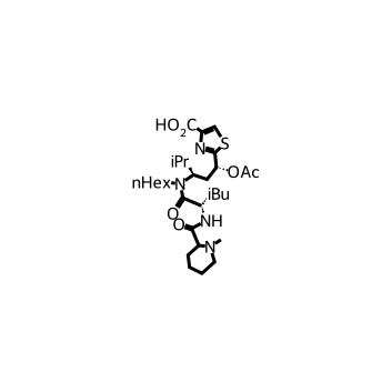 CCCCCCN(C(=O)[C@@H](NC(=O)C1CCCCN1C)[C@@H](C)CC)[C@H](C[C@@H](OC(C)=O)c1nc(C(=O)O)cs1)C(C)C